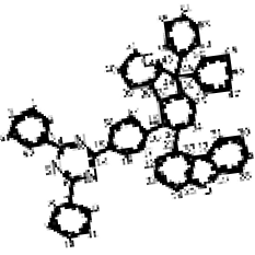 c1ccc(-c2nc(-c3ccccc3)nc(-c3ccc(-c4c(-c5cccc6sc7ccccc7c56)ccc5c4-c4ccccc4C5(c4ccccc4)c4ccccc4)cc3)n2)cc1